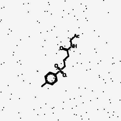 CC(=O)CNC(=O)CCCS(=O)(=O)c1ccc(C)cc1